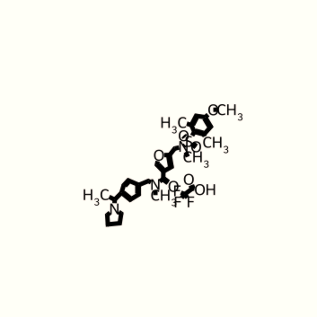 COc1cc(C)c(S(=O)(=O)N(C)Cc2cc(C(=O)N(C)Cc3ccc(C(C)N4CCCC4)cc3)co2)c(C)c1.O=C(O)C(F)(F)F